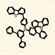 c1ccc(-c2cc(-c3ccccc3)cc(N(c3ccc(-c4ccccc4-n4c5ccccc5c5ccccc54)cc3)c3ccc(-c4cccc5c4sc4ccccc45)cc3)c2)cc1